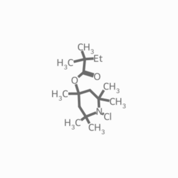 CCC(C)(C)C(=O)OC1(C)CC(C)(C)N(Cl)C(C)(C)C1